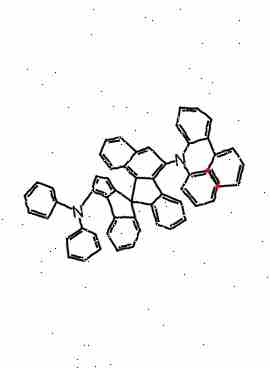 c1ccc(-c2ccccc2N(c2ccccc2)c2cc3ccccc3c3c2-c2ccccc2C32c3ccccc3-c3c(N(c4ccccc4)c4ccccc4)cccc32)cc1